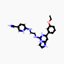 CCOc1cccc(-c2cc3nccn3c(NCCNc3ccc(C#N)cn3)n2)c1